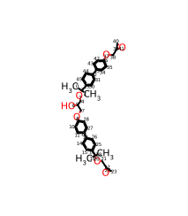 CC(C)(OCC(O)COc1ccc(-c2ccc(C(C)(C)OCC3CO3)cc2)cc1)c1ccc(-c2ccc(OCC3CO3)cc2)cc1